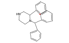 c1ccc(C2CNCCN2C(c2ccccc2)c2ccccc2)cc1